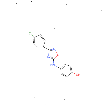 Oc1ccc(Nc2nc(-c3ccc(Cl)cc3)no2)cc1